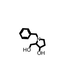 OCC1C(O)CCN1Cc1ccccc1